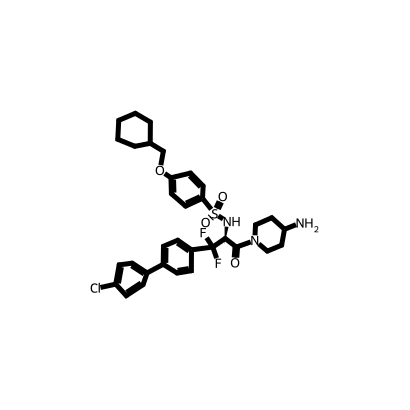 NC1CCN(C(=O)[C@H](NS(=O)(=O)c2ccc(OCC3CCCCC3)cc2)C(F)(F)c2ccc(-c3ccc(Cl)cc3)cc2)CC1